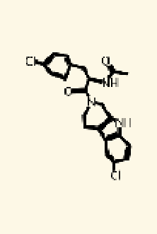 CC(=O)NC(Cc1ccc(Cl)cc1)C(=O)N1CCc2c([nH]c3ccc(Cl)cc23)C1